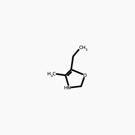 CCC1=C(C)NCO1